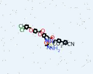 Cc1nc(N)sc1S(=O)(=O)N1Cc2cc3c(cc2C[C@@H]1C(=O)NC(Cc1ccc(-c2ccc(C#N)cc2)cc1)C(=O)O)OC[C@H](c1ccc(OCc2ccc(Cl)c(Cl)c2)cc1)O3